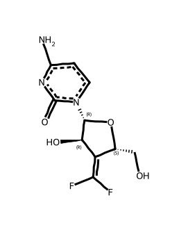 Nc1ccn([C@@H]2O[C@H](CO)C(=C(F)F)[C@H]2O)c(=O)n1